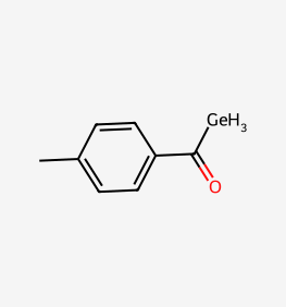 Cc1ccc([C](=O)[GeH3])cc1